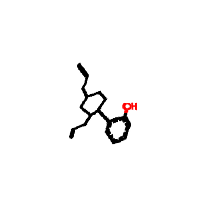 C=CCC1CCC(c2ccccc2O)C(CC=C)C1